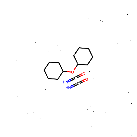 C1CCC(OC2CCCCC2)CC1.N=C=O.N=C=O